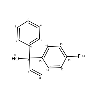 C=CC(O)(c1ccccc1)c1ccc(F)cc1